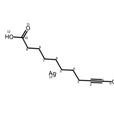 CC#CCCCCCCCC(=O)O.[Ag]